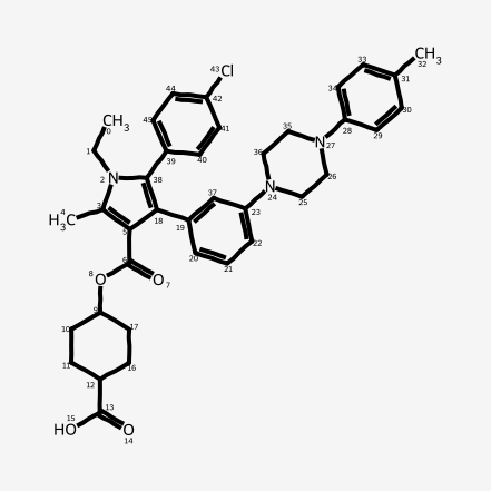 CCn1c(C)c(C(=O)OC2CCC(C(=O)O)CC2)c(-c2cccc(N3CCN(c4ccc(C)cc4)CC3)c2)c1-c1ccc(Cl)cc1